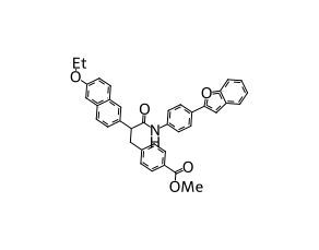 CCOc1ccc2cc(C(Cc3ccc(C(=O)OC)cc3)C(=O)Nc3ccc(-c4cc5ccccc5o4)cc3)ccc2c1